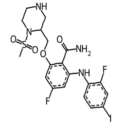 CS(=O)(=O)N1CCNCC1COc1cc(F)cc(Nc2ccc(I)cc2F)c1C(N)=O